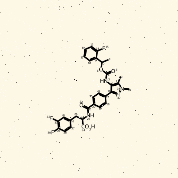 Cc1c(NC(=O)OC(C)c2ccccc2F)c(-c2ccc(C(=O)NC(Cc3ccc(F)c(F)c3)C(=O)O)cc2)nn1C